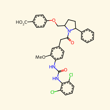 COc1cc(CC(=O)N2C(COc3ccc(C(=O)O)cc3)CCC2c2ccccc2)ccc1NC(=O)Nc1c(Cl)cccc1Cl